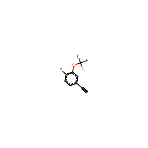 C#Cc1ccc(F)c(OC(F)(F)F)c1